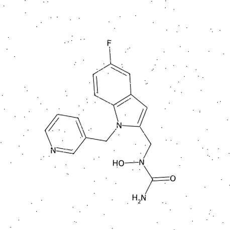 NC(=O)N(O)Cc1cc2cc(F)ccc2n1Cc1cccnc1